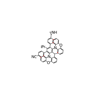 CC(C)c1c(-c2ccc(C3CN3)cc2)c(N2c3ccccc3Oc3ccccc32)c2c(c1-c1ccc(C#N)cc1)N1c3ccccc3Oc3cccc(c31)C2C